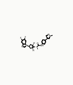 C[C@H](C(=O)Nc1ccc(-c2cnn(C)c2)cc1)[C@@H]1[C@@H]2CC(n3cnc4cc(F)c(F)cc43)C[C@@H]21